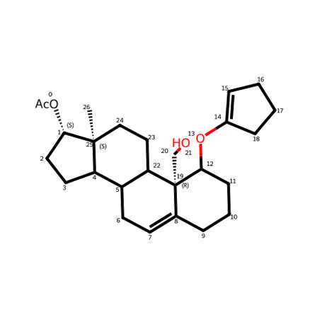 CC(=O)O[C@H]1CCC2C3CC=C4CCCC(OC5=CCCC5)[C@]4(CO)C3CC[C@@]21C